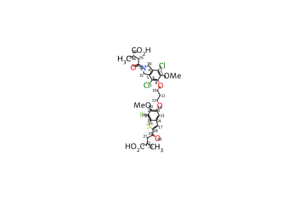 COc1c(Cl)c2c(c(Cl)c1OCCCOc1cc3cc(C(=O)C[C@H](C)C(=O)O)sc3c(F)c1OC)CN(C(=O)C[C@H](C)C(=O)O)C2